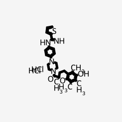 Cc1c(C)c2c(c(C)c1O)CC[C@](C)(C(=O)N1CCN(c3ccc(NC(=N)c4cccs4)cc3)CC1)O2.Cl.Cl